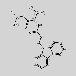 CC(C)[C@H](NC(=O)[C@@H](NC(=O)OCC1c2ccccc2-c2ccccc21)[C@@H](C)O)C(=O)O